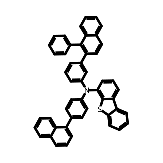 c1ccc(-c2c(-c3cccc(N(c4ccc(-c5cccc6ccccc56)cc4)c4cccc5c4sc4ccccc45)c3)ccc3ccccc23)cc1